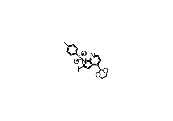 Cc1ccc(S(=O)(=O)n2c(I)cc3c(C4OCCO4)ccnc32)cc1